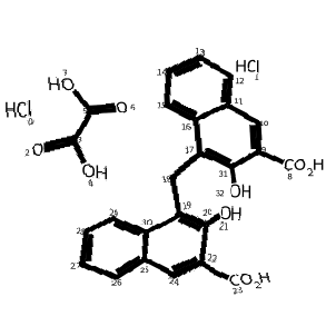 Cl.Cl.O=C(O)C(=O)O.O=C(O)c1cc2ccccc2c(Cc2c(O)c(C(=O)O)cc3ccccc23)c1O